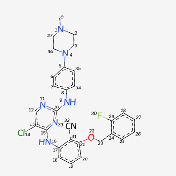 CN1CCN(c2ccc(Nc3ncc(Cl)c(Nc4cccc(OCc5ccccc5F)c4C#N)n3)cc2)CC1